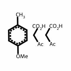 CC(=O)CC(=O)O.CC(=O)CC(=O)O.COc1ccc(C)cc1